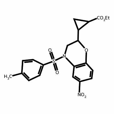 CCOC(=O)C1CC1C1CN(S(=O)(=O)c2ccc(C)cc2)c2cc([N+](=O)[O-])ccc2O1